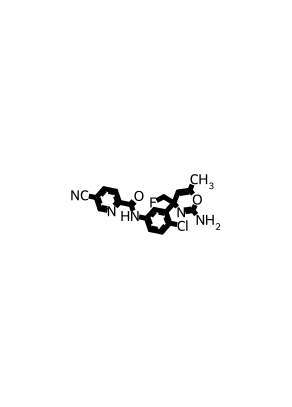 CC1=CC(CF)(c2cc(NC(=O)c3ccc(C#N)cn3)ccc2Cl)N=C(N)O1